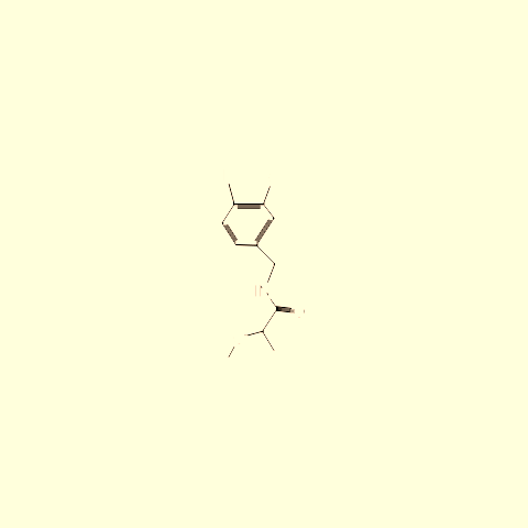 COC(C)C(=O)NCc1ccc(F)c(Cl)c1